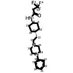 O=C(CC(F)(F)F)N[C@H]1CC[C@H](CCN2CCN(c3ccccc3)CC2)CC1